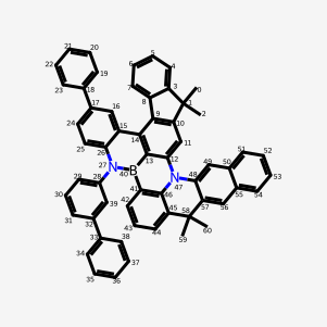 CC1(C)c2ccccc2-c2c1cc1c3c2-c2cc(-c4ccccc4)ccc2N(c2cccc(-c4ccccc4)c2)B3c2cccc3c2N1c1cc2ccccc2cc1C3(C)C